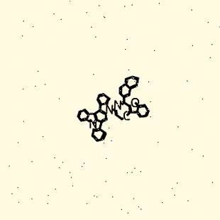 c1ccc2c(c#1)c1cc3c(c4ccccc4n3C3=C/CCc4c(oc5ccccc45)/C(c4ccc5ccccc5c4)=N\3)c3c4ccccc4n2c13